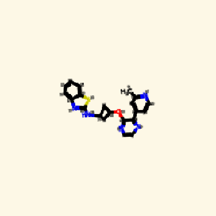 Cc1cc(-c2nccnc2OC2CC(Nc3nc4ccccc4s3)C2)ccn1